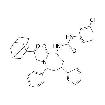 O=C(Nc1cccc(Cl)c1)NC1CC(c2ccccc2)CC(c2ccccc2)N(CC(=O)C23CC4CC(CC(C4)C2)C3)C1=O